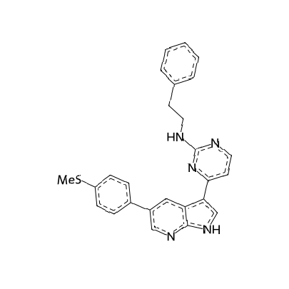 CSc1ccc(-c2cnc3[nH]cc(-c4ccnc(NCCc5ccccc5)n4)c3c2)cc1